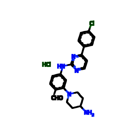 Cl.NC1CCN(c2cc(Nc3nccc(-c4ccc(Cl)cc4)n3)ccc2C=O)CC1